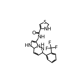 O=C(NC1=CNC2C=CC(c3ccccc3C(F)(F)F)NN12)C1=CSCN1